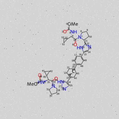 COC(=O)N[C@H](C(=O)N1CCC[C@H]1c1ncc(-c2ccc(C34CCC(c5cnc([C@@H]6CCCN6C(=O)[C@@H](NC(=O)OC)C6CC6)[nH]5)(CC3)CC4)cc2)[nH]1)C1CC1